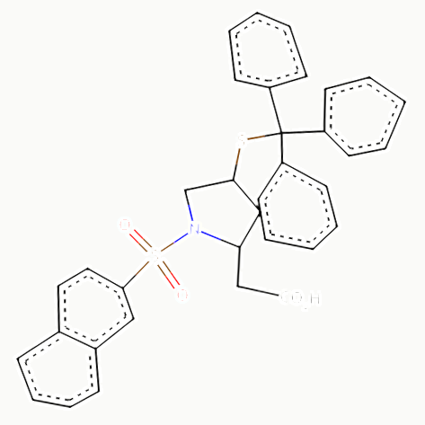 O=C(O)CC1CC(SC(c2ccccc2)(c2ccccc2)c2ccccc2)CN1S(=O)(=O)c1ccc2ccccc2c1